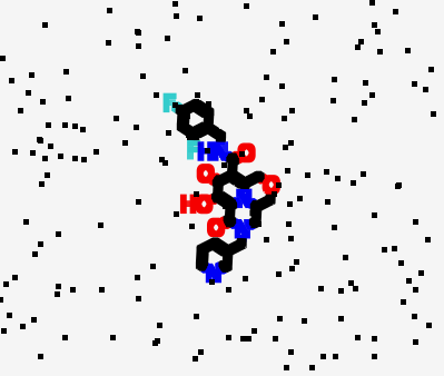 CC12COCc3c(C(=O)NCc4ccc(F)cc4F)c(=O)c(O)c(n31)C(=O)N(Cc1cccnc1)C2